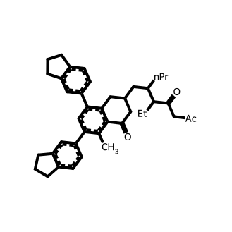 CCCC(CC1CC(=O)c2c(C)c(-c3ccc4c(c3)CCC4)cc(-c3ccc4c(c3)CCC4)c2C1)C(CC)C(=O)CC(C)=O